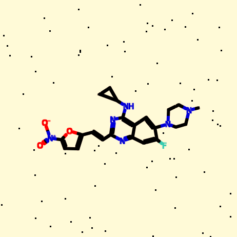 CN1CCN(c2cc3c(NC4CC4)nc(/C=C/c4ccc([N+](=O)[O-])o4)nc3cc2F)CC1